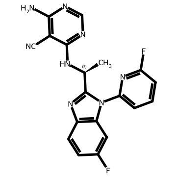 C[C@H](Nc1ncnc(N)c1C#N)c1nc2ccc(F)cc2n1-c1cccc(F)n1